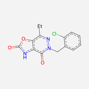 CCc1nn(Cc2ccccc2Cl)c(=O)c2[nH]c(=O)oc12